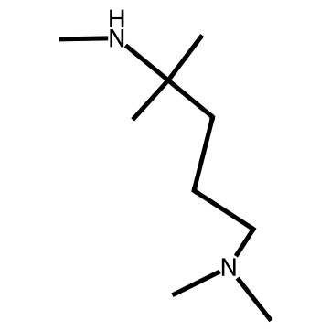 CNC(C)(C)CCCN(C)C